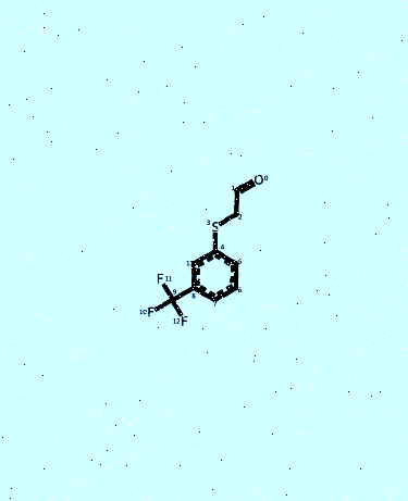 O=CCSc1cccc(C(F)(F)F)c1